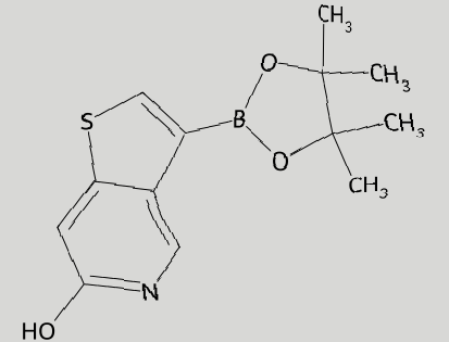 CC1(C)OB(c2csc3cc(O)ncc23)OC1(C)C